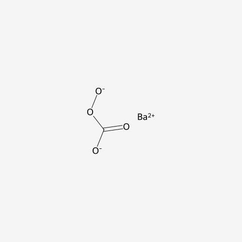 O=C([O-])O[O-].[Ba+2]